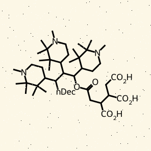 CCCCCCCCCCC(C(C(OC(=O)CC(C(=O)O)C(CC(=O)O)C(=O)O)C1CCN(C)C(C)(C)C1(C)C)C1CCN(C)C(C)(C)C1(C)C)C1CCN(C)C(C)(C)C1(C)C